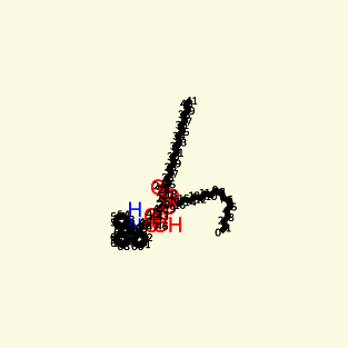 CCCCC/C=C\C/C=C\CCCCCCCC(=O)O[C@H](COC(=O)CCCCCCCCCCCCCCCCC)COP(=O)(O)OCCNC(c1ccccc1)(c1ccccc1)c1ccccc1